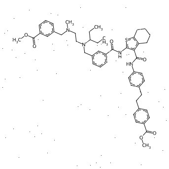 CCC(CC)N(CCN(C)Cc1cccc(C(=O)OC)c1)Cc1cccc(C(=O)Nc2sc3c(c2C(=O)Nc2ccc(CCc4ccc(C(=O)OC)cc4)cc2)CCCC3)c1